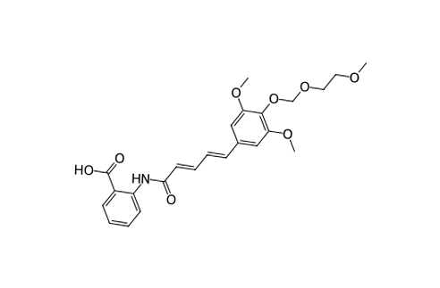 COCCOCOc1c(OC)cc(C=CC=CC(=O)Nc2ccccc2C(=O)O)cc1OC